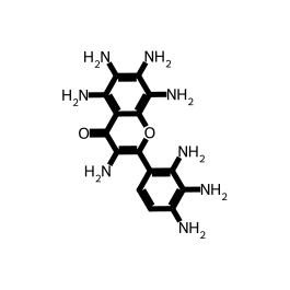 Nc1ccc(-c2oc3c(N)c(N)c(N)c(N)c3c(=O)c2N)c(N)c1N